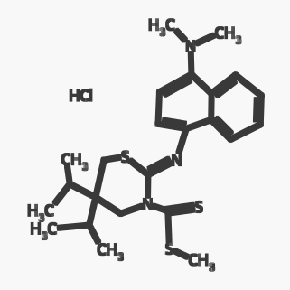 CSC(=S)N1CC(C(C)C)(C(C)C)CSC1=Nc1ccc(N(C)C)c2ccccc12.Cl